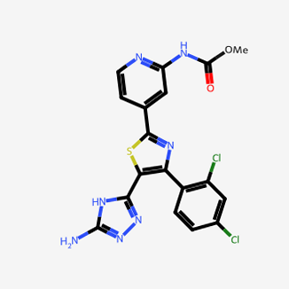 COC(=O)Nc1cc(-c2nc(-c3ccc(Cl)cc3Cl)c(-c3nnc(N)[nH]3)s2)ccn1